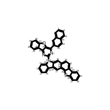 c1ccc2cc(-c3nc(-n4c5ccccc5c5cc6c(ccc7c8ccccc8sc67)cc54)nc4c3oc3ccccc34)ccc2c1